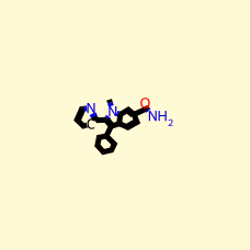 CN1C(C2=NC=CCC2)=C(C2CCCCC2)C2C=CC(C(N)=O)=CC21